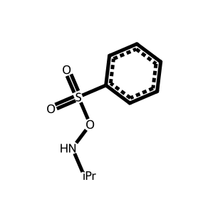 CC(C)NOS(=O)(=O)c1ccccc1